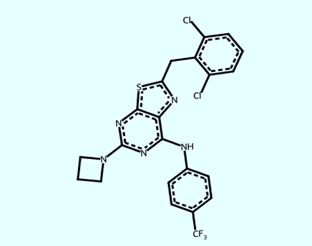 FC(F)(F)c1ccc(Nc2nc(N3CCC3)nc3sc(Cc4c(Cl)cccc4Cl)nc23)cc1